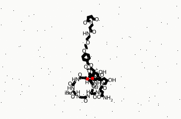 CC[C@H](C)[C@@H]1NC(=O)CNC(=O)C2Cc3c([nH]c4cc(O)ccc34)[S@+]([O-])CC(NC(=O)CNC1=O)C(=O)NC(CC(N)=O)C(=O)N1CC(O)CC1C(=O)N[C@@H]([C@@H](C)[C@@H]1COC(c3ccc(OCCOCCNC(=O)CCN4C(=O)C=CC4=O)cc3)O1)C(=O)N2